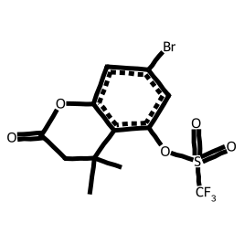 CC1(C)CC(=O)Oc2cc(Br)cc(OS(=O)(=O)C(F)(F)F)c21